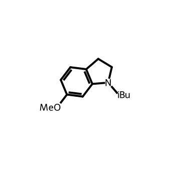 CCC(C)N1CCc2ccc(OC)cc21